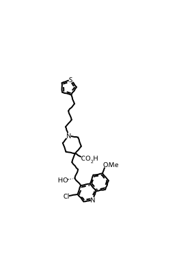 COc1ccc2ncc(Cl)c([C@H](O)CCC3(C(=O)O)CCN(CCCCc4ccsc4)CC3)c2c1